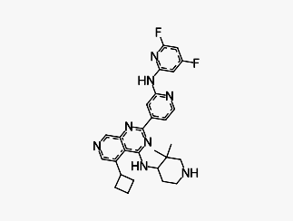 CC1(C)CNCCC1Nc1nc(-c2ccnc(Nc3cc(F)cc(F)n3)c2)nc2cncc(C3CCC3)c12